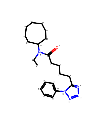 CCN(C(=O)CCCCc1nnnn1-c1ccccc1)C1CCCCCCC1